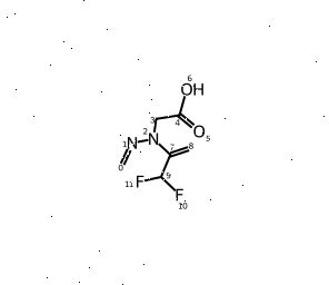 C=NN(CC(=O)O)C(=C)C(F)F